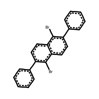 Brc1c(-c2ccccc2)ccc2c(Br)c(-c3ccccc3)ccc12